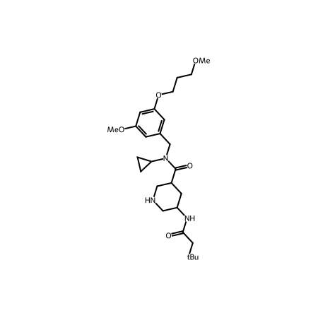 COCCCOc1cc(CN(C(=O)C2CNCC(NC(=O)CC(C)(C)C)C2)C2CC2)cc(OC)c1